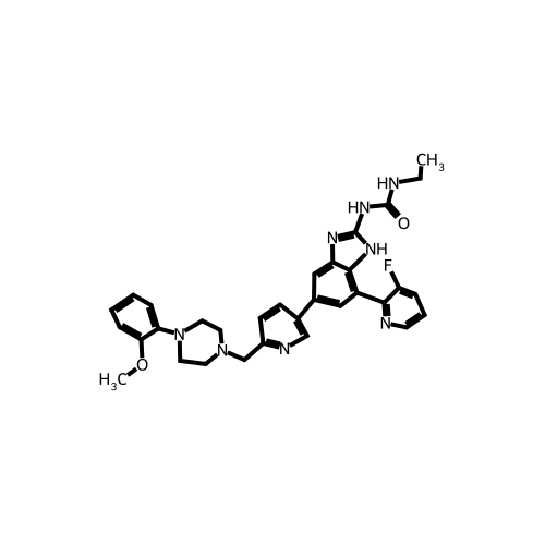 CCNC(=O)Nc1nc2cc(-c3ccc(CN4CCN(c5ccccc5OC)CC4)nc3)cc(-c3ncccc3F)c2[nH]1